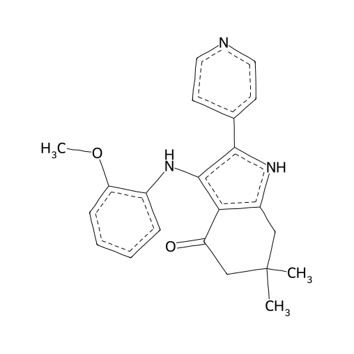 COc1ccccc1Nc1c(-c2ccncc2)[nH]c2c1C(=O)CC(C)(C)C2